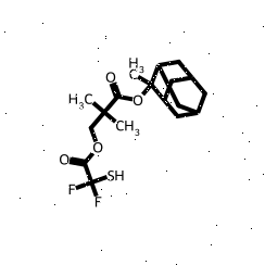 CC(C)(COC(=O)C(F)(F)S)C(=O)OC1(C)C2CC3CC(C2)CC1C3